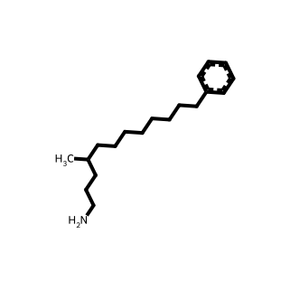 CC(CCCN)CCCCCCCCc1ccccc1